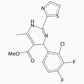 COC(=O)C1=C(C)NC(c2nccs2)=NC1c1ccc(F)c(F)c1Cl